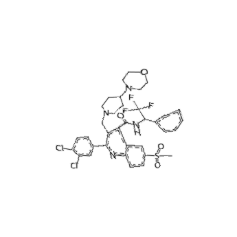 CS(=O)(=O)c1ccc2nc(-c3ccc(Cl)c(Cl)c3)c(CN3CCC(N4CCOCC4)CC3)c(C(=O)NC(c3ccccc3)C(F)(F)F)c2c1